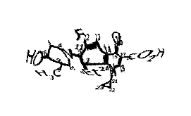 CCc1c(N2CCC(O)C(C)C2)c(F)cc2c(=O)c(C(=O)O)cn(C3CC3)c12